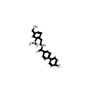 O=C(NCCc1ccc(CO)cc1[N+](=O)[O-])c1ccc(-c2ccc(Cl)cc2)cc1